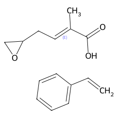 C/C(=C\CC1CO1)C(=O)O.C=Cc1ccccc1